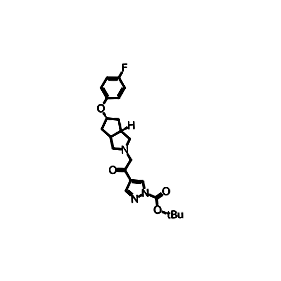 CC(C)(C)OC(=O)n1cc(C(=O)CN2CC3C[C@@H](Oc4ccc(F)cc4)C[C@@H]3C2)cn1